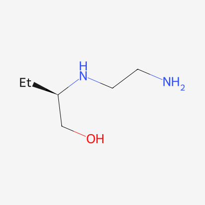 CC[C@H](CO)NCCN